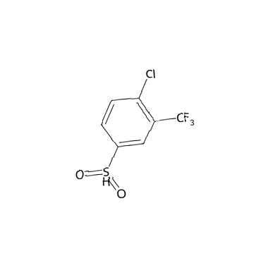 O=[SH](=O)c1ccc(Cl)c(C(F)(F)F)c1